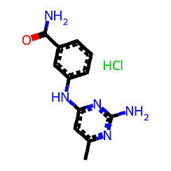 Cc1cc(Nc2cccc(C(N)=O)c2)nc(N)n1.Cl